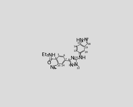 CCNC(=O)c1ccc(-c2nc(Nc3ccc4[nH]ncc4c3)n(C)n2)cc1C#N